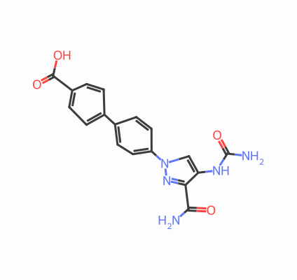 NC(=O)Nc1cn(-c2ccc(-c3ccc(C(=O)O)cc3)cc2)nc1C(N)=O